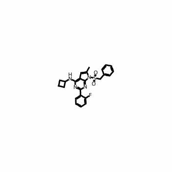 Cc1cc2c(NC3CCC3)nc(-c3ccccc3F)nc2n1S(=O)(=O)Cc1ccccc1